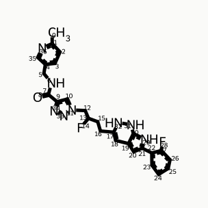 Cc1ccc(CNC(=O)c2cn(CC(F)CCC3=Cc4cc(-c5ccccc5F)[nH]c4NN3)nn2)cn1